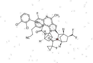 Cc1nc2c(F)c(-c3cccc(Cl)c3Cl)c(CCC#N)cc2c2c1cc([C@H]1[C@H]3C[C@H](C[C@@H]3C(F)F)N1C(=O)C1(F)CC1)n2[C@H]1[C@@H]2C[C@H]1N(C(=O)OC(C)(C)C)C2